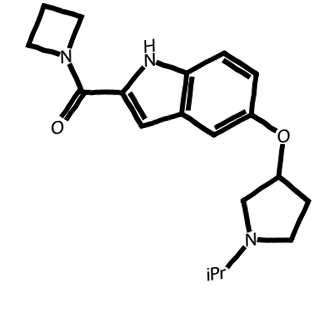 CC(C)N1CCC(Oc2ccc3[nH]c(C(=O)N4CCC4)cc3c2)C1